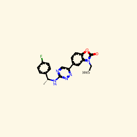 CSCn1c(=O)oc2ccc(-c3cnc(N[C@H](C)c4ccc(F)cc4)nn3)cc21